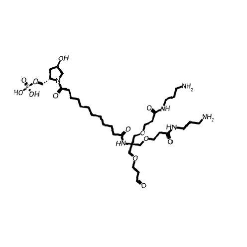 NCCCNC(=O)CCOCC(COCCC=O)(COCCC(=O)NCCCN)NC(=O)CCCCCCCCCCC(=O)N1CC(O)C[C@H]1COP(=O)(O)O